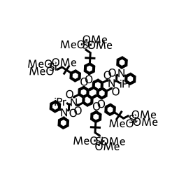 CO[Si](CCC(C)(C)c1ccc(Oc2cc3c4c(cc(Oc5ccc(C(C)(C)CC[Si](OC)(OC)OC)cc5)c5c6c(Oc7ccc(C(C)(C)CC[Si](OC)(OC)OC)cc7)cc7c8c(cc(Oc9ccc(C(C)(C)CC[Si](OC)(OC)OC)cc9)c(c2c45)c86)C(=O)N(C(C(=O)N(c2ccccc2)c2ccccc2)C(C)C)C7=O)C(=O)N(C(C(=O)N(c2ccccc2)c2ccccc2)C(C)C)C3=O)cc1)(OC)OC